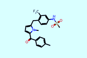 Cc1ccc(C(=O)c2ccc(Cc3ccc(NS(C)(=O)=O)cc3C(F)(F)F)n2C)cc1